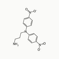 NCCCN(c1ccc([N+](=O)[O-])cc1)c1ccc([N+](=O)[O-])cc1